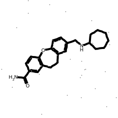 NC(=O)c1ccc2c(c1)CCc1cc(CNC3CCCCCC3)ccc1O2